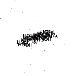 CC(=O)OC[C@H]1O[C@@H](O[C@H]2[C@H](O[C@H]3CC[C@]4(C)[C@H]5C[C@@H](O)[C@@H]6[C@@H]([C@](C)(CCC=C(C)C)O[C@@H]7O[C@H](CO[C@@H]8O[C@H](CO)[C@@H](O)[C@H](O)[C@H]8O)[C@@H](O)[C@H](O)[C@H]7O)CC[C@@]6(C)[C@]5(C)CC[C@H]4C3(C)C)O[C@H](CO)[C@@H](O)[C@@H]2O)[C@H](O)[C@@H](O)[C@@H]1O